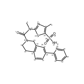 Cc1nc(N(C)C(=O)N2CCc3ccc(-c4ccccn4)cc3C2)sc1S(N)(=O)=O